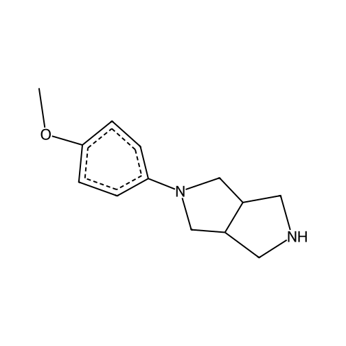 COc1ccc(N2CC3CNCC3C2)cc1